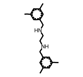 Cc1cc(C)cc(CNCCNCc2cc(C)cc(C)c2)c1